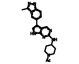 CC(=O)N1CCC(Nc2ncc3c(-c4ccc5nnc(C)n5c4)c[nH]c3n2)CC1